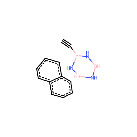 C#CB1NBNBN1.c1ccc2ccccc2c1